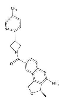 C[C@H]1OCc2c1c(N)nc1ccc(C(=O)N3CC(c4ccc(C(F)(F)F)cn4)C3)cc21